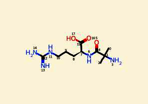 CC(C)(N)C(=O)N[C@@H](CCCNC(=N)N)C(=O)O